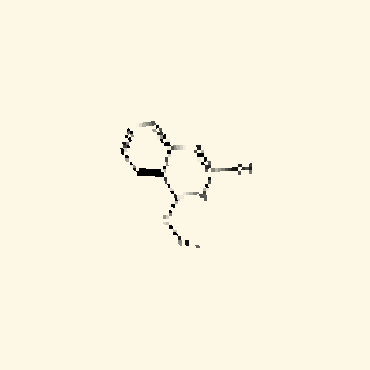 COc1nc(O)cc2ccccc12